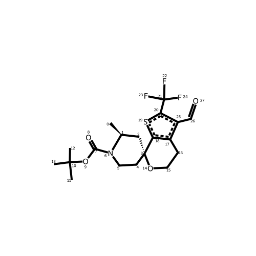 C[C@H]1C[C@@]2(CCN1C(=O)OC(C)(C)C)OCCc1c2sc(C(F)(F)F)c1C=O